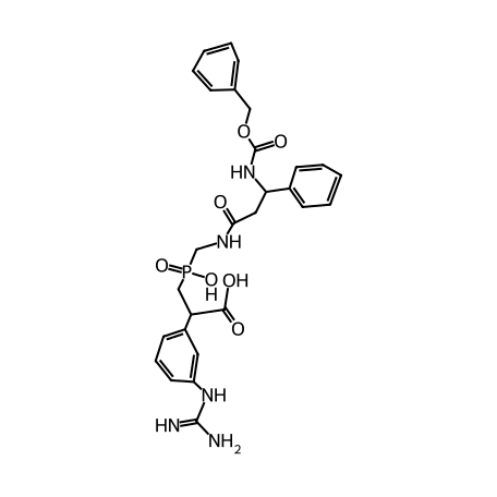 N=C(N)Nc1cccc(C(CP(=O)(O)CNC(=O)CC(NC(=O)OCc2ccccc2)c2ccccc2)C(=O)O)c1